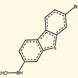 OBc1ccc2c(c1)sc1cc(Br)ccc12